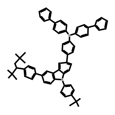 CC(C)(C)CC(c1ccc(-c2ccc3c(c2)c2cc(-c4ccc(N(c5ccc(-c6ccccc6)cc5)c5ccc(-c6ccccc6)cc5)cc4)ccc2n3-c2ccc(C(C)(C)C)cc2)cc1)C(C)(C)C